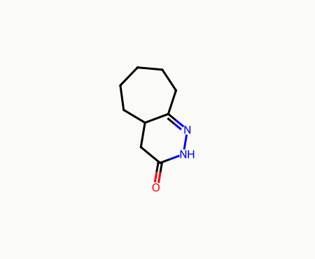 O=C1CC2CCCCCC2=NN1